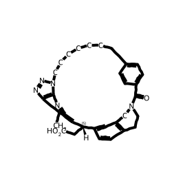 Cc1c2cnc3c1nnn3CCCCCCCc1ccc(cc1)C(=O)N1CCc3ccc(cc3C1)[C@@H]2CC(=O)O